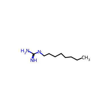 CCCCCCCC[N]C(=N)N